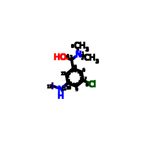 CN(C)C(O)c1cc(Cl)cc(NI)c1